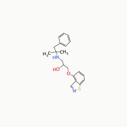 CC(C)(Cc1ccccc1)NCC(O)COc1cccc2sncc12